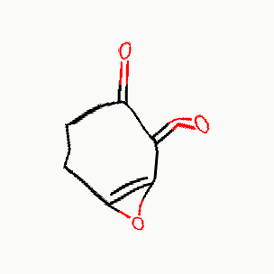 O=C1CCC2=C(O2)C1=O